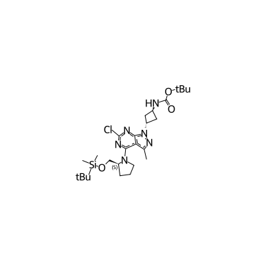 Cc1nn([C@H]2C[C@H](NC(=O)OC(C)(C)C)C2)c2nc(Cl)nc(N3CCC[C@H]3CO[Si](C)(C)C(C)(C)C)c12